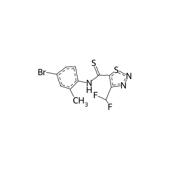 Cc1cc(Br)ccc1NC(=S)c1snnc1C(F)F